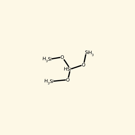 [SiH3]O[SiH](O[SiH3])O[SiH3]